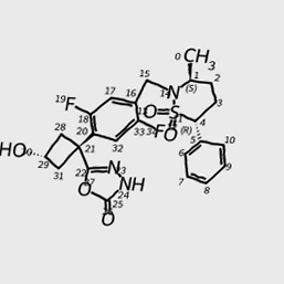 C[C@H]1CC[C@H](c2ccccc2)S(=O)(=O)N1Cc1cc(F)c([C@]2(c3n[nH]c(=O)o3)C[C@@H](O)C2)cc1F